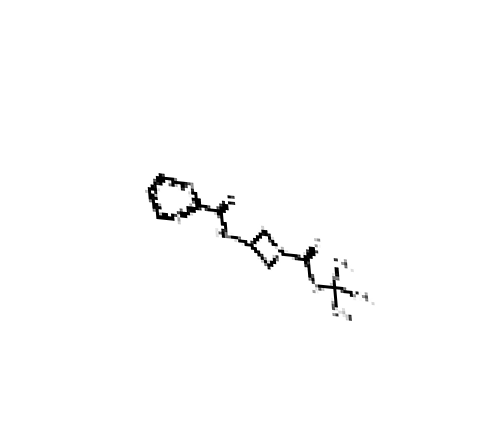 CC(C)(C)OC(=O)N1CC(NC(=O)c2ncccn2)C1